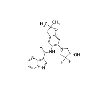 CC1(C)Cc2cc(NC(=O)c3cnn4cccnc34)c(N3CC(O)C(F)(F)C3)cc2O1